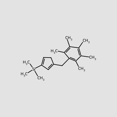 Cc1c(C)c(C)c(CC2=CC([Si](C)(C)C)=CC2)c(C)c1C